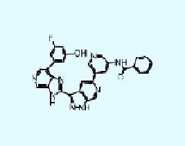 O=C(Nc1cncc(-c2cc3c(-c4nc5c(-c6cc(O)cc(F)c6)cncc5[nH]4)n[nH]c3cn2)c1)c1ccccc1